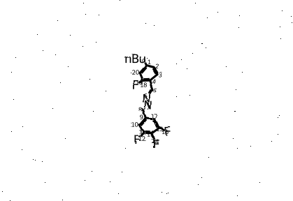 CCCCc1ccc(/C=N/N=C/c2cc(F)c(F)c(F)c2)c(F)c1